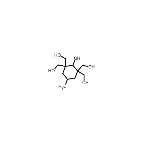 CC1CC(CO)(CO)C(O)C(CO)(CO)C1